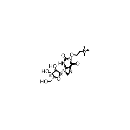 C[N+](C)(C)CCOn1c(=O)[nH]c2c(ncn2[C@@H]2O[C@H](CO)[C@@H](O)[C@H]2O)c1=O